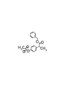 CC(C(=O)OCc1ccccc1)c1ccc(OS(C)(=O)=O)cc1